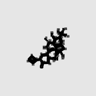 C[C@@H](NC(=O)c1cn(C23CC(C2)C3)c(=O)cc1N[C@@H]1[C@@H]2CN(C)C[C@@H]21)c1cccc(C(F)(F)F)c1F